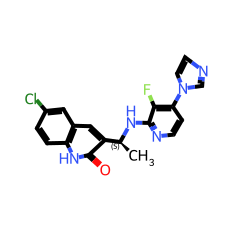 C[C@H](Nc1nccc(-n2ccnc2)c1F)c1cc2cc(Cl)ccc2[nH]c1=O